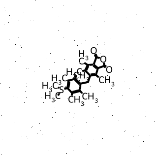 Cc1c(C)c([S+](C)C)c(C)c(C)c1Cc1c(C)c(C)c2c(c1C)C(=O)OC2=O